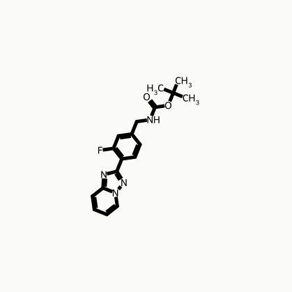 CC(C)(C)OC(=O)NCc1ccc(-c2nc3ccccn3n2)c(F)c1